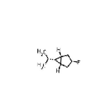 CC(C)[C@@H]1[C@@H]2C[C@@H](F)C[C@@H]21